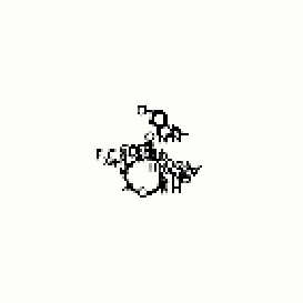 Cc1cn2c(n1)nc(O[C@@H]1C[C@H]3C(=O)N[C@]4(C(=O)NS(=O)(=O)C5(C)CC5)C[C@H]4C=CCC[C@@H](C)C[C@@H](C)[C@H](N(C(=O)O)C(C)(C)C(F)(F)F)C(=O)N3C1)c1cc(Cl)ccc12